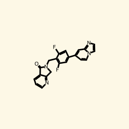 O=C1c2cccnc2CN1Cc1c(F)cc(-c2ccn3ccnc3c2)cc1F